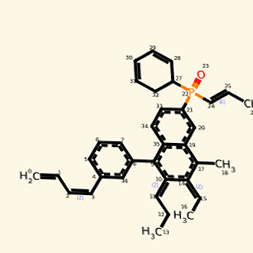 C=C/C=C\c1cccc(-c2c(=C/CC)/c(=C\C)c(C)c3cc(P(=O)(/C=C/C)C4C=CC=CC4)ccc23)c1